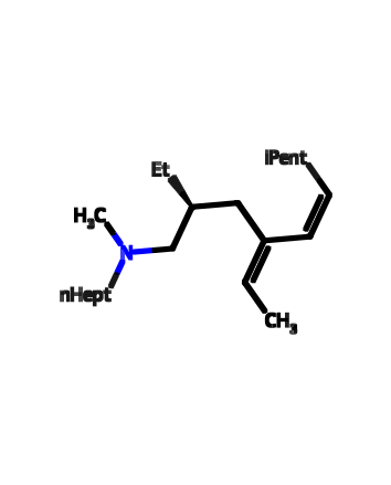 C/C=C(\C=C/C(C)CCC)C[C@H](CC)CN(C)CCCCCCC